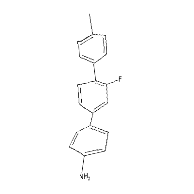 Cc1ccc(-c2ccc(-c3ccc(N)cc3)cc2F)cc1